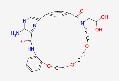 Nc1ncc2nc1C(=O)Nc1ccccc1OCCOCCOCCN(CC(O)O)C(=O)c1ccc-2cc1